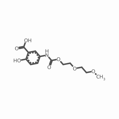 COCCOCCOC(=O)Nc1ccc(O)c(C(=O)O)c1